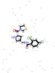 O=C(NC[C@@H]1CN[C@H](C(=O)N2CCSC2)C1)c1ccc(Cl)cc1Cl